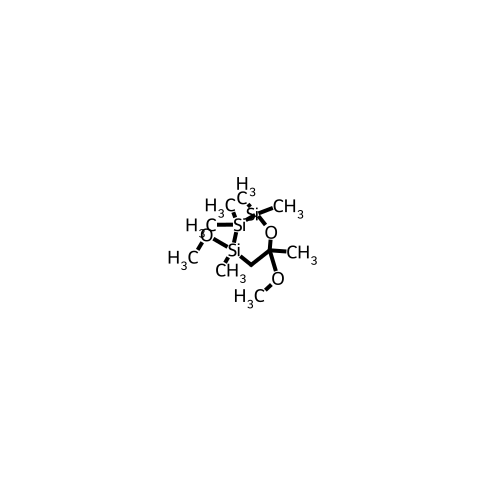 COC1(C)C[Si](C)(OC)[Si](C)(C)[Si](C)(C)O1